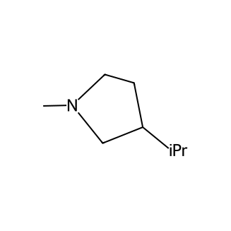 CC(C)C1CCN(C)C1